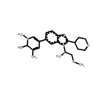 COC[C@@H](C)n1c(C2CCOCC2)nc2ccc(C3=CN(C)C(O)C(C)=C3)cc21